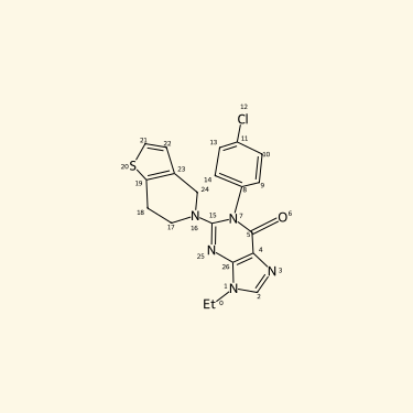 CCn1cnc2c(=O)n(-c3ccc(Cl)cc3)c(N3CCc4sccc4C3)nc21